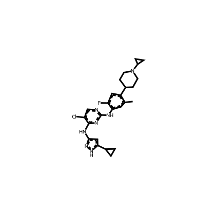 Cc1cc(Nc2ncc(Cl)c(Nc3cc(C4CC4)[nH]n3)n2)c(F)cc1C1CCN(C2CC2)CC1